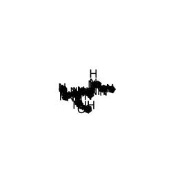 CN1CCN(c2nccc3[nH]c(-c4n[nH]c5c(C6CN(c7nccc8[nH]c(-c9n[nH]c%10ccc(-c%11cncc(CN%12CCCC%12)c%11)nc9%10)cc78)CCN6C)cc(-c6cncc(NC(=O)c7ccccc7)c6)nc45)cc23)CC1